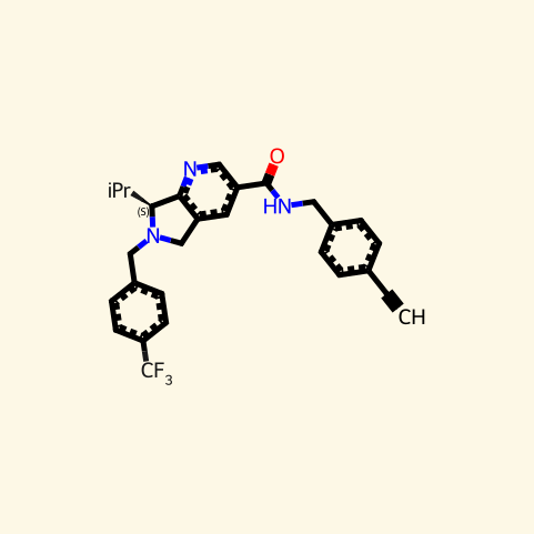 C#Cc1ccc(CNC(=O)c2cnc3c(c2)CN(Cc2ccc(C(F)(F)F)cc2)[C@H]3C(C)C)cc1